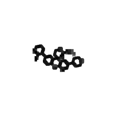 NC1=NC2(CCO1)c1cc(-c3cccnc3F)ccc1Oc1ncc(C3=CCOCC3)cc12